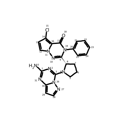 Nc1nc(N2CCC[C@H]2c2nn3ccc(Cl)c3c(=O)n2-c2ccccc2)n2nccc2n1